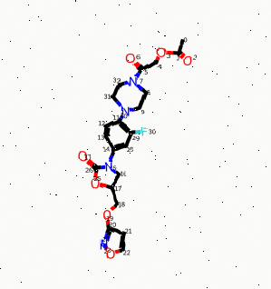 CC(=O)OCC(=O)N1CCN(c2ccc(N3CC(COc4ccon4)OC3=O)cc2F)CC1